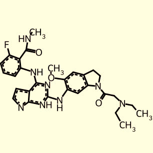 CCN(CC)CC(=O)N1CCc2cc(OC)c(Nc3nc(Nc4cccc(F)c4C(=O)NC)c4ccnc-4[nH]3)cc21